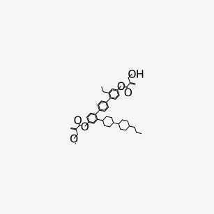 C=C(CO)C(=O)Oc1ccc(-c2ccc(-c3ccc(OC(=O)C(=C)COC)cc3C3CCC(C4CCC(CCC)CC4)CC3)cc2)c(CC)c1